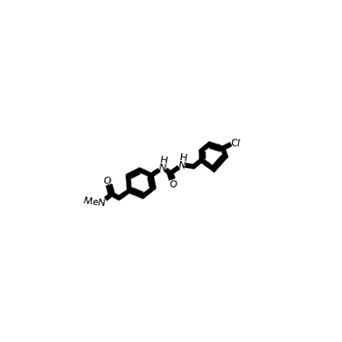 CNC(=O)Cc1ccc(NC(=O)NCc2ccc(Cl)cc2)cc1